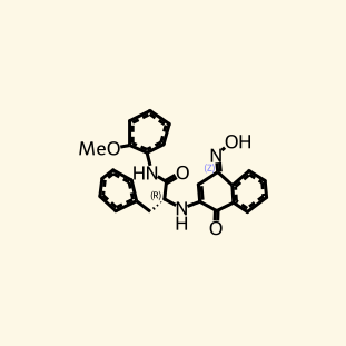 COc1ccccc1NC(=O)[C@@H](Cc1ccccc1)NC1=C/C(=N/O)c2ccccc2C1=O